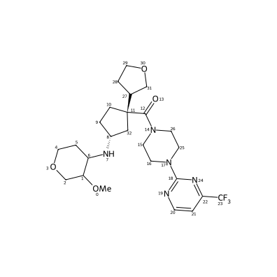 COC1COCCC1N[C@@H]1CC[C@@](C(=O)N2CCN(c3nccc(C(F)(F)F)n3)CC2)(C2CCOC2)C1